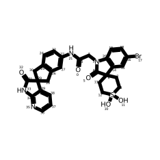 O=C(CN1C(=O)C2(CCS(O)(O)CC2)c2cc(Br)ccc21)Nc1ccc2c(c1)CC1(C2)C(=O)Nc2ncccc21